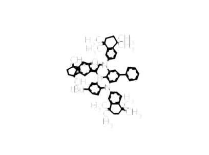 CC(C)(C)c1ccc2c(c1)B1c3c(cc(-c4ccccc4)cc3N(c3ccc4c(c3)C(C)(C)CCC4(C)C)c3oc4cc5c(cc4c31)C1(C)CCC5(C)C1)N2c1ccc2c(c1)C(C)(C)CCC2(C)C